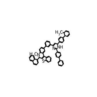 CC1C=CC=CC1c1ccc(C2C=C(c3cccc(-c4ccc5c(c4)-c4c(sc6ccccc46)C(c4cccc6ccccc46)N5C)c3)N=C(c3ccc(-c4ccccc4)cc3)N2)cc1